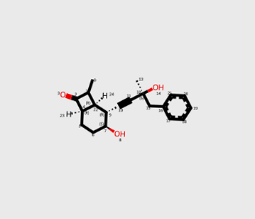 CC1C(=O)[C@@H]2CC[C@H](O)[C@@H](C#C[C@@](C)(O)Cc3ccccc3)[C@H]12